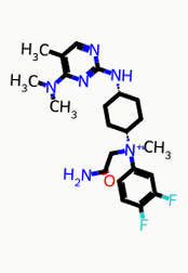 Cc1cnc(N[C@H]2CC[C@@H]([N+](C)(CC(N)=O)c3ccc(F)c(F)c3)CC2)nc1N(C)C